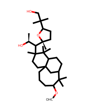 C[C@H](O)C(C1(C)CCC23CCCC(OC=O)C(C)(C)C(CCC2C1(C)C)C3)[C@@]1(C)CCC(C(C)(C)CO)O1